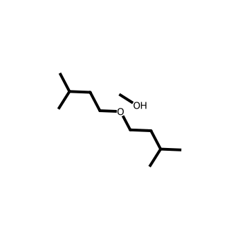 CC(C)CCOCCC(C)C.CO